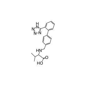 CC(C)C(NCc1ccc(-c2ccccc2-c2nnn[nH]2)cc1)C(=O)O